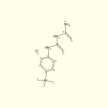 C[N+](C)(C)c1ccc(NC(=S)NC(N)=S)cc1.[Cl-]